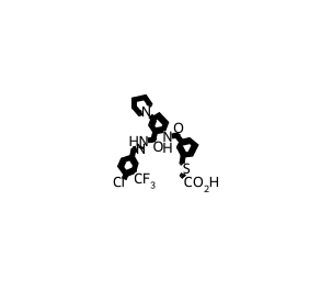 O=C(O)CSCc1cccc(C(=O)Nc2ccc(N3CCCCC3)cc2C(=O)NN=Cc2ccc(Cl)c(C(F)(F)F)c2)c1